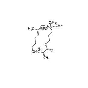 C=C(C)C(=O)OCCC[Si](OC)(OC)OC.CC(=CCCCO)C(=O)O